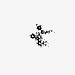 COCCN1C[C@@H](NC(=O)Nc2c(C)c(-c3ccc(=O)n(C(C)C)c3)nn2C2C=CC=CC2)[C@H](c2ccc(F)c(F)c2)C1